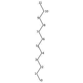 CCCCC[CH]CCCCCC